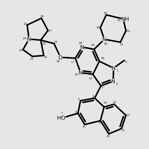 Cn1nc(-c2cc(O)cc3ccccc23)c2nc(OCC34CCCN3CCC4)nc(N3CCNCC3)c21